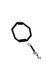 C1=C\CC/C=C\CC/1.[2H][Rh][Cl]